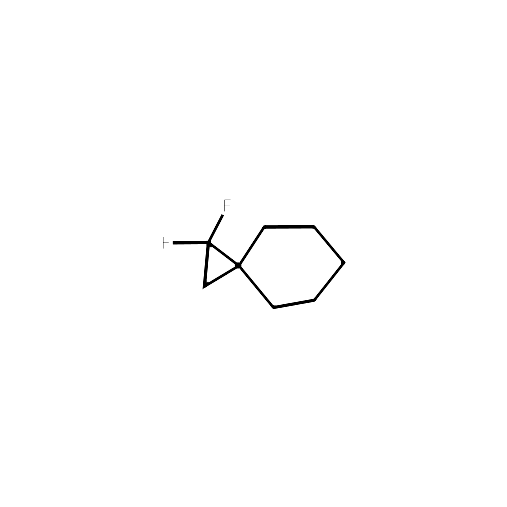 FC1(F)CC12CCCCC2